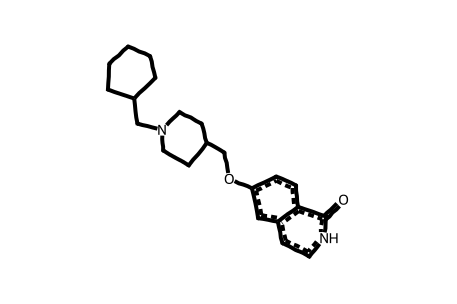 O=c1[nH]ccc2cc(OCC3CCN(CC4CCCCC4)CC3)ccc12